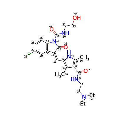 CCN(CC)CCNC(=O)c1c(C)[nH]c(/C=C2\C(=O)N(C(=O)NCCO)c3ccc(F)cc32)c1C